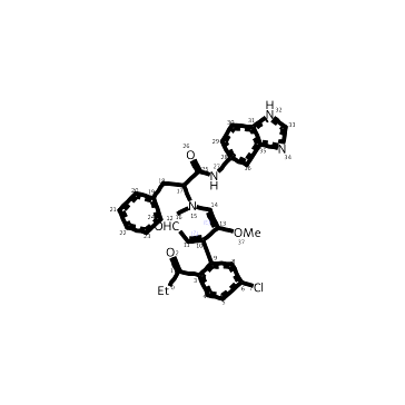 CCC(=O)c1ccc(Cl)cc1C(=C/C=O)/C(=C\N(C)C(Cc1ccccc1)C(=O)Nc1ccc2[nH]cnc2c1)OC